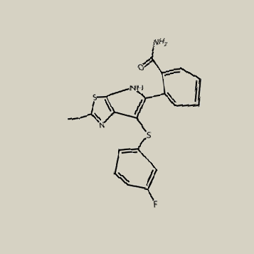 Cc1nc2c(Sc3cccc(F)c3)c(-c3ccccc3C(N)=O)[nH]c2s1